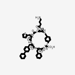 NCCCC(=O)N[C@@H]1CC(=O)N[C@H](Cc2cccs2)C(=O)N[C@@H](Cc2ccc(-c3ccccc3)cc2)C(=O)N[C@H](Cc2ccccc2)C(=O)N[C@H](C(=O)O)Cc2ccc(cc2)NC1=O